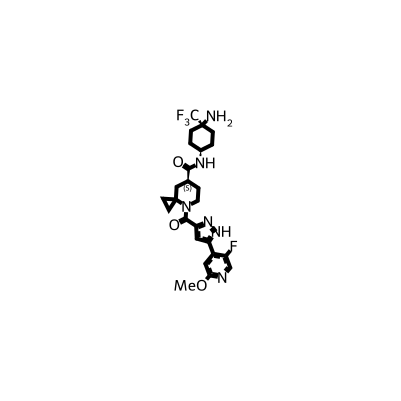 COc1cc(-c2cc(C(=O)N3CC[C@H](C(=O)N[C@H]4CC[C@](N)(C(F)(F)F)CC4)CC34CC4)n[nH]2)c(F)cn1